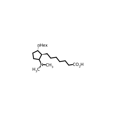 CCCCCC[C@H]1CCC(N(C)C)[C@@H]1CCCCCCC(=O)O